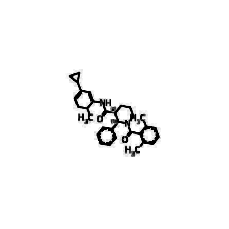 Cc1cccc(C)c1C(=O)N1CCC[C@H](C(=O)NC2=CC(C3CC3)=CCC2C)[C@@H]1c1ccccc1